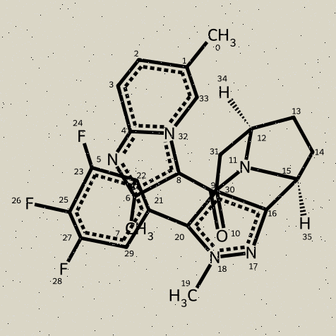 Cc1ccc2nc(C)c(C(=O)N3[C@@H]4CC[C@H]3c3nn(C)c(-c5cc(F)c(F)c(F)c5)c3C4)n2c1